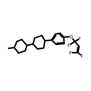 CC1CCC(C2CCC(c3ccc(OC(F)(F)C=C(F)F)cc3)CC2)CC1